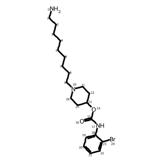 NCCCCCCCCCN1CCC(OC(=O)Nc2ccccc2Br)CC1